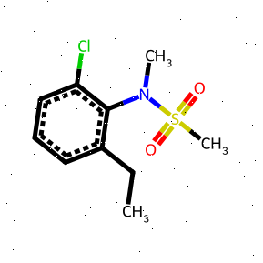 CCc1cccc(Cl)c1N(C)S(C)(=O)=O